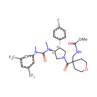 COC(=O)NCC1(C(=O)N2C[C@@H](N(C)C(=O)N(C)c3cc(C(F)(F)F)cc(C(F)(F)F)c3)[C@H](c3ccc(F)cc3)C2)CCOCC1